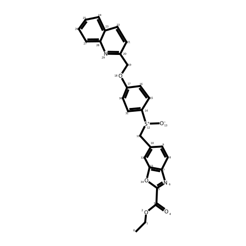 CCOC(=O)c1nc2ccc(C[S+]([O-])c3ccc(OCc4ccc5ccccc5n4)cc3)cc2o1